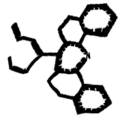 C=C/C=C(\C=C/C)c1c2c(nc3c1CCc1ccccc1-3)-c1ccccc1CC2